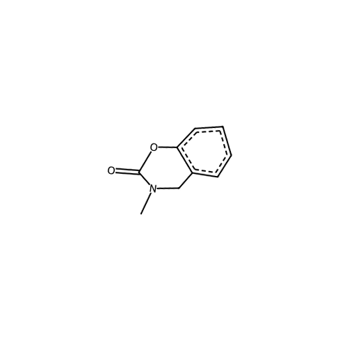 CN1Cc2ccccc2OC1=O